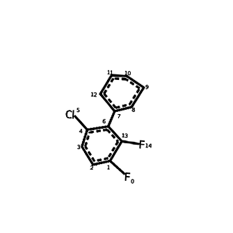 Fc1[c]cc(Cl)c(-c2ccccc2)c1F